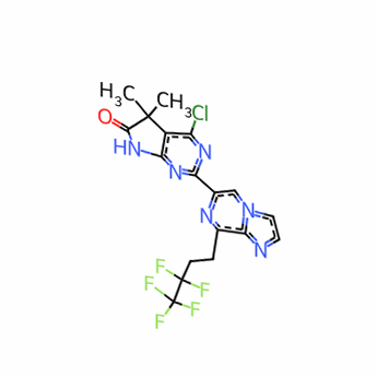 CC1(C)C(=O)Nc2nc(-c3cn4ccnc4c(CCC(F)(F)C(F)(F)F)n3)nc(Cl)c21